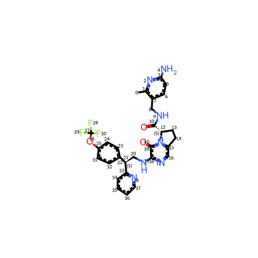 Cc1nc(N)ccc1CNC(=O)[C@@H]1CCc2cnc(NC[C@H](c3ccc(OC(F)(F)F)cc3)c3ccccn3)c(=O)n21